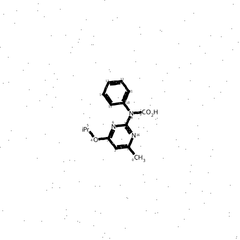 Cc1cc(OC(C)C)nc(N(C(=O)O)c2ccccc2)n1